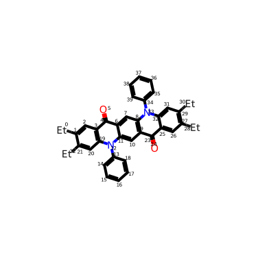 CCc1cc2c(=O)c3cc4c(cc3n(-c3ccccc3)c2cc1CC)c(=O)c1cc(CC)c(CC)cc1n4-c1ccccc1